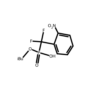 CCC(C)OP(=O)(O)C(F)(F)c1ccccc1[N+](=O)[O-]